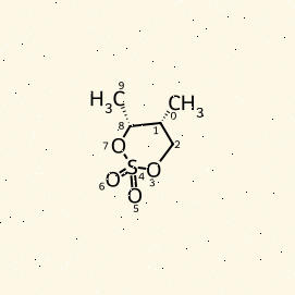 C[C@@H]1COS(=O)(=O)O[C@@H]1C